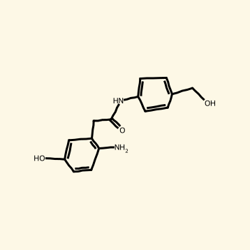 Nc1ccc(O)cc1CC(=O)Nc1ccc(CO)cc1